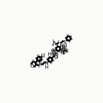 CN(C)CC[C@H](CSc1ccccc1)Nc1ccc(S(=O)(=O)NC(=O)c2ccc(NCCNCC3=C(c4ccc(Cl)cc4)CCOC3)cc2)cc1S(=O)(=O)C(F)(F)F